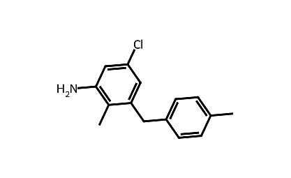 Cc1ccc(Cc2cc(Cl)cc(N)c2C)cc1